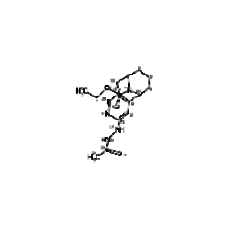 CCOC(=S)N1C2CCCC1c1cc(NNC(C)=O)nnc1C2